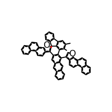 Cc1cc2c(c(-c3c(-c4coc5c4ccc4c6ccccc6ccc45)cc4cc5ccccc5cc4c3-c3coc4c3ccc3c5ccccc5ccc34)c1C)Cc1ccccc1-2